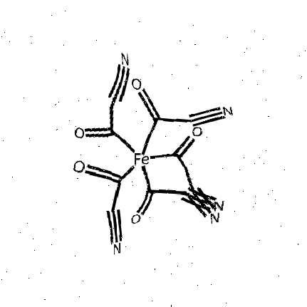 N#C[C](=O)[Fe]([C](=O)C#N)([C](=O)C#N)([C](=O)C#N)[C](=O)C#N